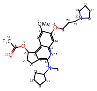 COc1cc2c3c(c(N(C)C4CCCC4)nc2cc1OCCCN1CCCC1)CCC3OC(=O)C(F)(F)F